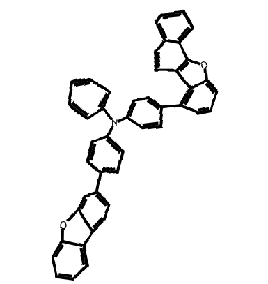 c1ccc(N(c2ccc(-c3ccc4c(c3)oc3ccccc34)cc2)c2ccc(-c3cccc4oc5c6ccccc6ccc5c34)cc2)cc1